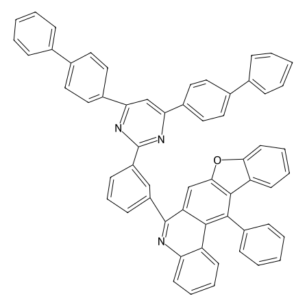 c1ccc(-c2ccc(-c3cc(-c4ccc(-c5ccccc5)cc4)nc(-c4cccc(-c5nc6ccccc6c6c(-c7ccccc7)c7c(cc56)oc5ccccc57)c4)n3)cc2)cc1